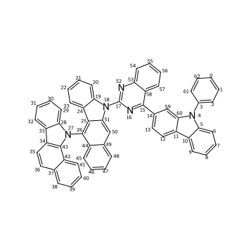 c1ccc(-n2c3ccccc3c3ccc(-c4nc(-n5c6ccccc6c6c(-n7c8ccccc8c8ccc9ccccc9c87)c7ccccc7cc65)nc5ccccc45)cc32)cc1